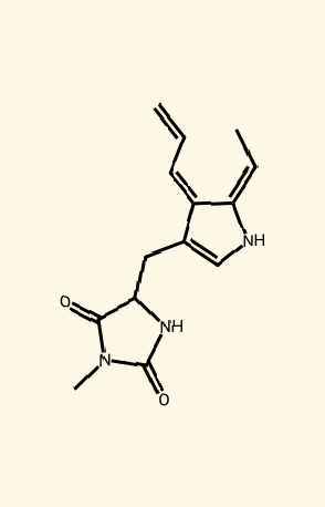 C=C/C=c1/c(CC2NC(=O)N(C)C2=O)c[nH]/c1=C/C